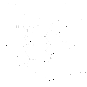 O=C([O-])CNCP(=O)(O)O.O=C([O-])CNCP(=O)(O)O.[Ca+2]